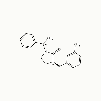 Cc1cccc(C[C@H]2CCN([C@@H](C)c3ccccc3)C2=O)c1